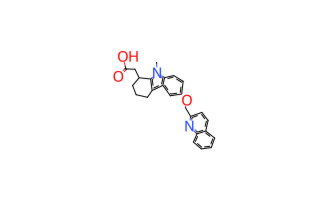 Cn1c2c(c3cc(OCc4ccc5ccccc5n4)ccc31)CCCC2CC(=O)O